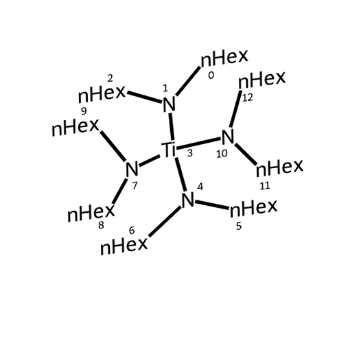 CCCCCC[N](CCCCCC)[Ti]([N](CCCCCC)CCCCCC)([N](CCCCCC)CCCCCC)[N](CCCCCC)CCCCCC